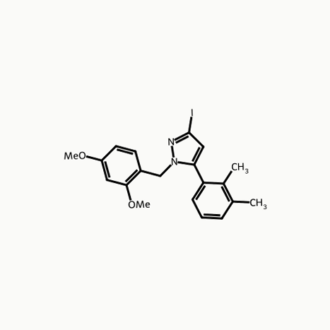 COc1ccc(Cn2nc(I)cc2-c2cccc(C)c2C)c(OC)c1